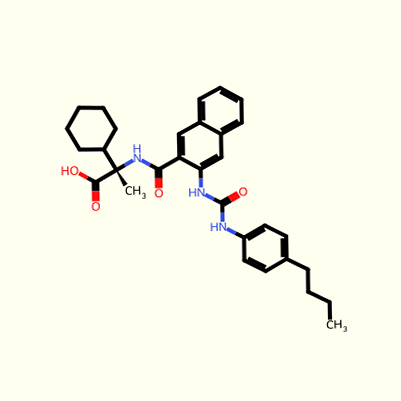 CCCCc1ccc(NC(=O)Nc2cc3ccccc3cc2C(=O)N[C@](C)(C(=O)O)C2CCCCC2)cc1